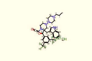 CCCN1CCN(N2CCN(C=C=O)C(Cc3c[nH]c4ccccc34)(C(=O)c3cc(C(F)(F)F)cc(C(F)(F)F)c3)C2)CC1.Cl.Cl